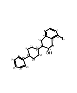 OC1Cc2c(I)cccc2CC1N1CCC(c2ccccc2)CC1